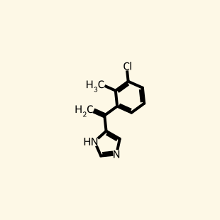 C=C(c1cnc[nH]1)c1cccc(Cl)c1C